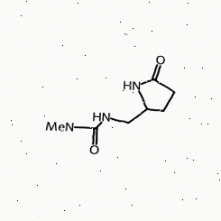 CNC(=O)NCC1CCC(=O)N1